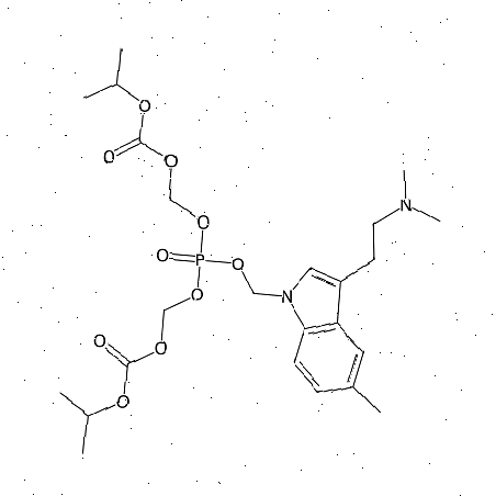 Cc1ccc2c(c1)c(CCN(C)C)cn2COP(=O)(OCOC(=O)OC(C)C)OCOC(=O)OC(C)C